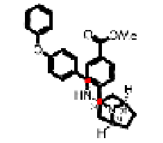 COC(=O)c1ccc(CN2[C@@H]3CC[C@H]2C[C@H](NCc2ccc(Oc4ccccc4)cc2)C3)cc1